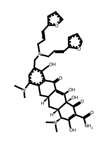 CN(C)c1cc(CN(C/C=C/c2ccco2)C/C=C/c2ccco2)c(O)c2c1C[C@H]1C[C@H]3[C@H](N(C)C)C(O)=C(C(N)=O)C(=O)[C@@]3(O)C(O)=C1C2=O